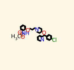 CS(=O)(=O)Nc1ccccc1OCCCN1CCC(OC(c2ccc(Cl)cc2)c2ccccn2)CC1